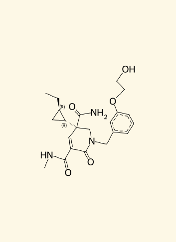 CC[C@@H]1C[C@H]1C1(C(N)=O)C=C(C(=O)NC)C(=O)N(Cc2cccc(OCCO)c2)C1